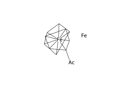 CC(=O)[C]12[CH]3[CH]4[CH]5[CH]1[Fe]45321678[CH]2[CH]1[CH]6[CH]7[CH]28.[Fe]